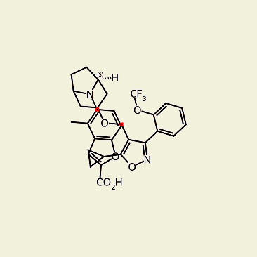 Cc1c(N2C3CC[C@H]2CC(OCc2c(-c4ccccc4OC(F)(F)F)noc2C2CC2)C3)ccc2oc(C(=O)O)cc12